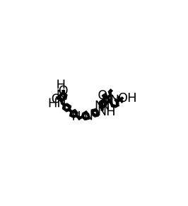 C=CCn1c(=O)c2cnc(Nc3ccc(N4CCC(CN5CCC(c6ccc(NC7CCC(=O)NC7=O)cc6)CC5)CC4)cc3)nc2n1-c1cccc(C(C)(C)O)n1